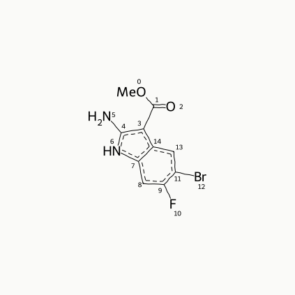 COC(=O)c1c(N)[nH]c2cc(F)c(Br)cc12